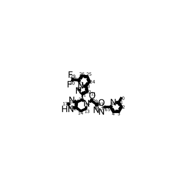 Cc1cccc(-c2nnc(C(=O)N3CCc4[nH]cnc4[C@H]3c3cc4cccc(C(F)F)n4n3)o2)n1